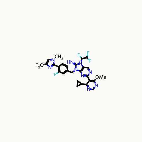 COc1ncnc(C2CC2)c1-c1ncc2c(n1)n(Cc1ccc(-c3nc(C(F)(F)F)cn3C)c(F)c1)c(=N)n2C(F)C(F)F